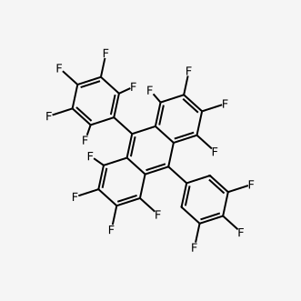 Fc1cc(-c2c3c(F)c(F)c(F)c(F)c3c(-c3c(F)c(F)c(F)c(F)c3F)c3c(F)c(F)c(F)c(F)c23)cc(F)c1F